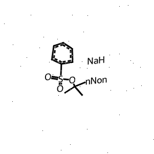 CCCCCCCCCC(C)(C)OS(=O)(=O)c1ccccc1.[NaH]